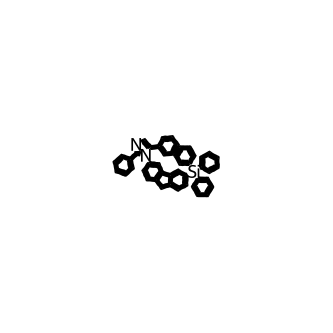 c1ccc(-c2cnc(-c3ccccc3)n2-c2ccc3c(c2)-c2cc([Si](c4ccccc4)(c4ccccc4)c4ccccc4)ccc2C3)cc1